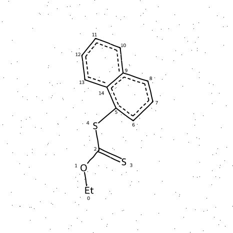 CCOC(=S)Sc1cccc2ccccc12